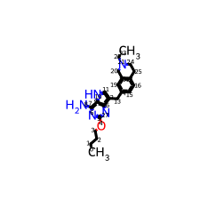 CCCCOc1nc(N)c2[nH]cc(Cc3ccc4c(c3)CN(CC)CC4)c2n1